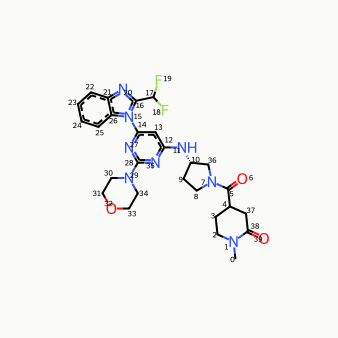 CN1CCC(C(=O)N2CC[C@H](Nc3cc(-n4c(C(F)F)nc5ccccc54)nc(N4CCOCC4)n3)C2)CC1=O